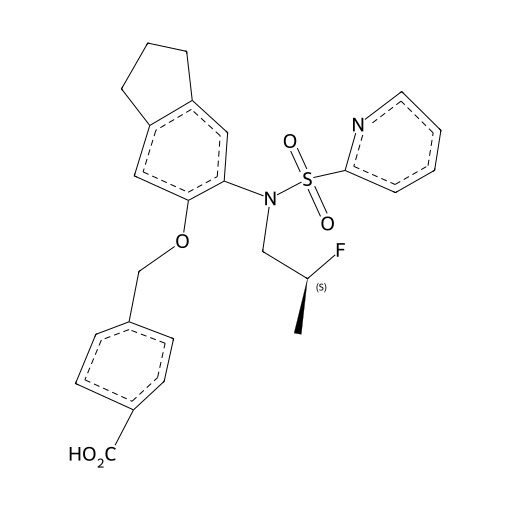 C[C@H](F)CN(c1cc2c(cc1OCc1ccc(C(=O)O)cc1)CCC2)S(=O)(=O)c1ccccn1